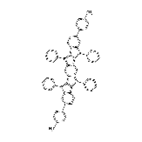 Cc1ccc(-c2ccc3c(c2)p(-c2ccccc2)c2c4cc5c(cc4p(-c4ccccc4)c32)c2c(c3ccc(-c4ccc(C)cc4)cc3p2-c2ccccc2)p5-c2ccccc2)cc1